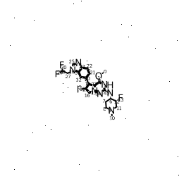 COc1nc(N[C@H]2CCN(C)C[C@H]2F)nn2cc(F)c(-c3ccc4ncn(CC(F)F)c4c3)c12